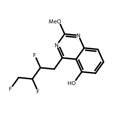 COc1nc(CC(F)C(F)CF)c2c(O)cccc2n1